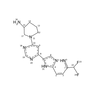 N=C(/C=C\c1ncc(-c2cc(N3CCCC(N)C3)ncn2)[nH]1)C(F)F